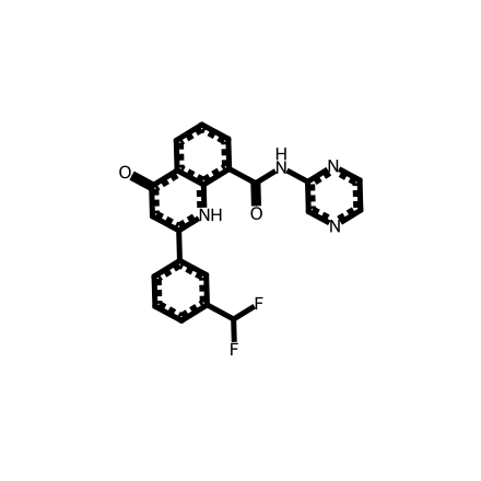 O=C(Nc1cnccn1)c1cccc2c(=O)cc(-c3cccc(C(F)F)c3)[nH]c12